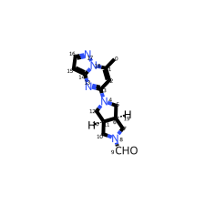 Cc1cc(N2C[C@H]3CN(C=O)C[C@H]3C2)nc2ccnn12